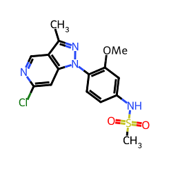 COc1cc(NS(C)(=O)=O)ccc1-n1nc(C)c2cnc(Cl)cc21